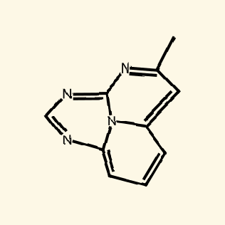 CC1=NC2=NC=NC3=CC=CC(=C1)N32